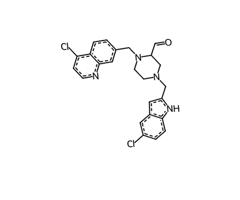 O=CC1CN(Cc2cc3cc(Cl)ccc3[nH]2)CCN1Cc1ccc2c(Cl)ccnc2c1